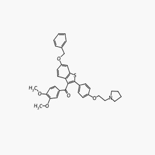 COc1ccc(C(=O)c2c(-c3ccc(OCCN4CCCC4)cc3)sc3cc(OCc4ccccc4)ccc23)cc1OC